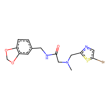 CN(CC(=O)NCc1ccc2c(c1)OCO2)Cc1ncc(Br)s1